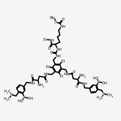 CCNC(=O)C(CCCCNC(=O)OC(C)(C)C)NC(=O)NCc1c(CC)c(CNC(=O)CC(N)C(=O)NCc2ccc(CN(C)C)c(B(O)O)c2)c(CC)c(CNC(=O)CC(N)C(=O)NCc2ccc(CN(C)C)c(B(O)O)c2)c1CC